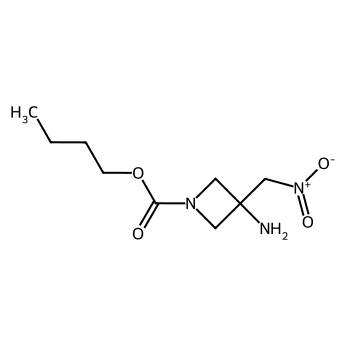 CCCCOC(=O)N1CC(N)(C[N+](=O)[O-])C1